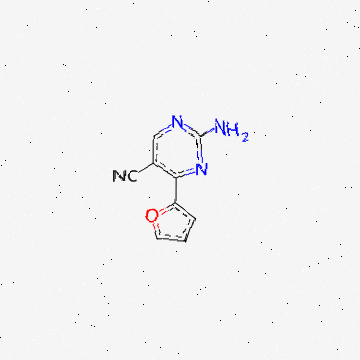 N#Cc1cnc(N)nc1-c1ccco1